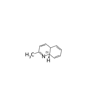 CC1=N[C@H]2C=CC=CC2C=C1